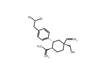 C=C[C@]1(CO)CC[C@@H](C(=C)C)[C@H](c2ccc(CN(CC)CC)cc2)C1